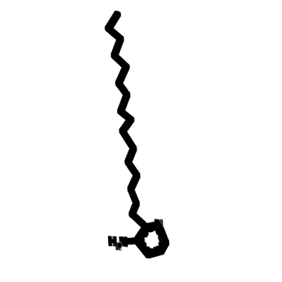 CCCCCCCCCCCCCCCCc1ncccc1N